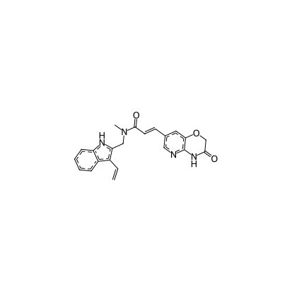 C=Cc1c(CN(C)C(=O)/C=C/c2cnc3c(c2)OCC(=O)N3)[nH]c2ccccc12